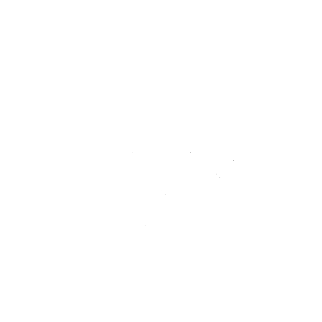 CCC1=CN=NC2=CN=C(c3ccccc3F)c3c(Br)cccc3N12